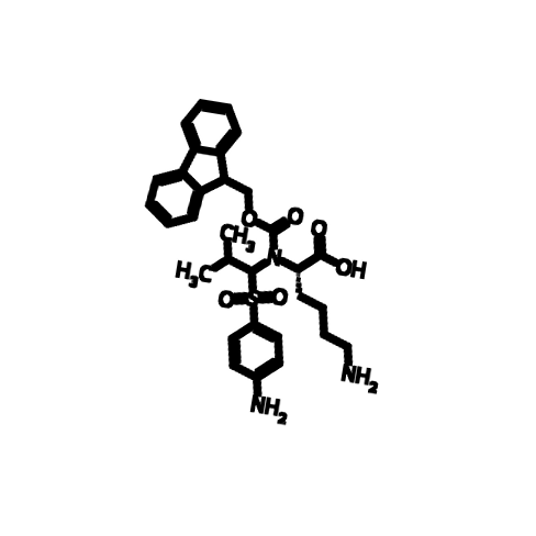 CC(C)C(N(C(=O)OCC1c2ccccc2-c2ccccc21)[C@@H](CCCCN)C(=O)O)S(=O)(=O)c1ccc(N)cc1